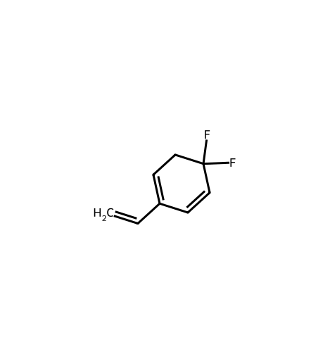 C=CC1=CCC(F)(F)C=C1